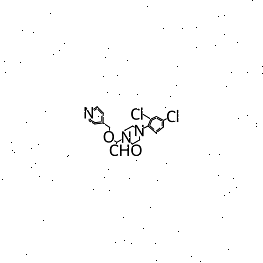 O=CC(OCc1ccncc1)N1CCN(c2ccc(Cl)cc2Cl)CC1